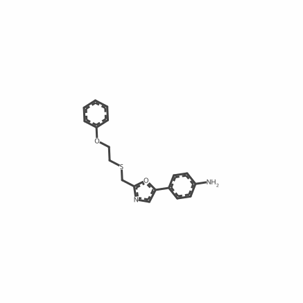 Nc1ccc(-c2cnc(CSCCOc3ccccc3)o2)cc1